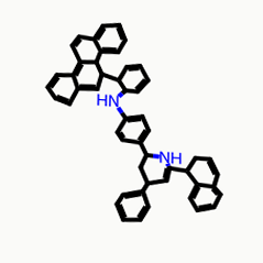 C1=CC(Nc2ccc(C3CC(c4ccccc4)C=C(C4CC=Cc5ccccc54)N3)cc2)C(C2C=c3ccccc3=C3C=Cc4ccccc4C32)C=C1